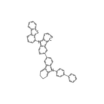 C1=c2c(n(-c3ccc(-c4ccccc4)cc3)c3ccc(-c4ccc5c(c4)c4ccccc4n5-c4cccc5c4sc4ccccc45)cc23)=CCC1